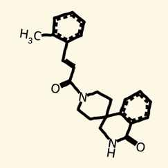 Cc1ccccc1/C=C/C(=O)N1CCC2(CC1)CNC(=O)c1ccccc12